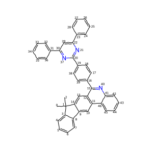 CC1(C)c2ccccc2-c2cc3c(cc21)c(-c1ccc(-c2nc(-c4ccccc4)cc(-c4ccccc4)n2)cc1)nc1ccccc13